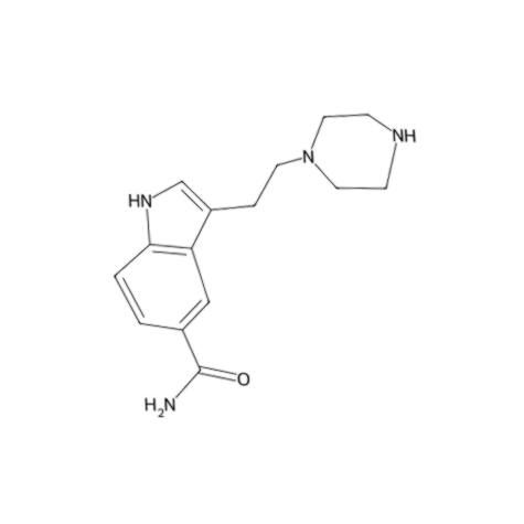 NC(=O)c1ccc2[nH]cc(CCN3CCNCC3)c2c1